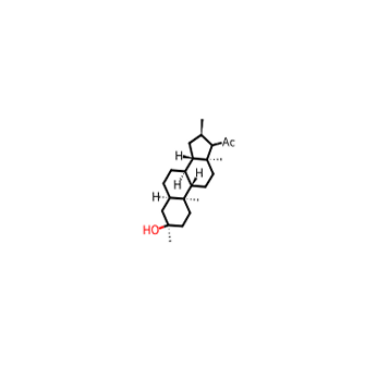 CC(=O)C1[C@H](C)C[C@H]2[C@@H]3CC[C@@H]4C[C@](C)(O)CC[C@]4(C)[C@H]3CC[C@]12C